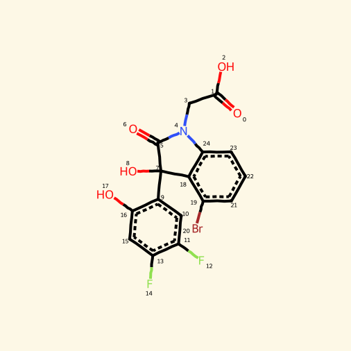 O=C(O)CN1C(=O)C(O)(c2cc(F)c(F)cc2O)c2c(Br)cccc21